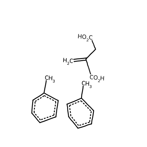 C=C(CC(=O)O)C(=O)O.Cc1ccccc1.Cc1ccccc1